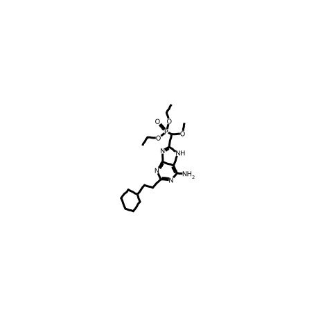 CCOP(=O)(OCC)C(OC)c1nc2nc(CCC3CCCCC3)nc(N)c2[nH]1